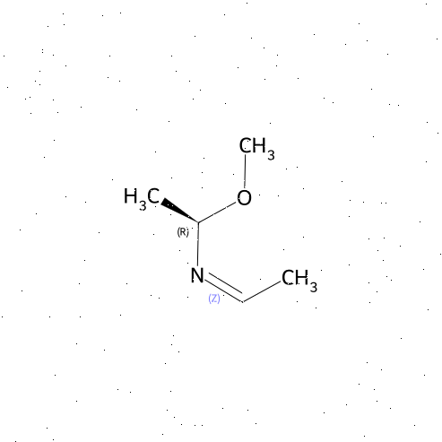 C/C=N\[C@@H](C)OC